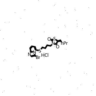 CCC/C=C1/SC(=O)N(CCCCSc2cccc3ncc(Br)n23)C1=O.Cl